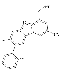 Cc1cc2oc3c(CC(C)C)cc(C#N)cc3c2cc1-c1cccc[n+]1C